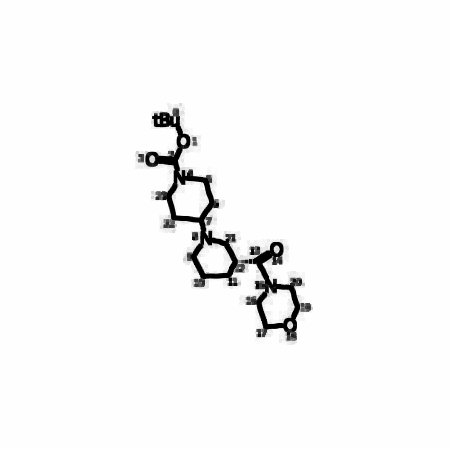 CC(C)(C)OC(=O)N1CCC(N2CCC[C@@H](C(=O)N3CCOCC3)C2)CC1